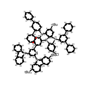 CC(C)(C)c1cc2c3c(c1)N(c1ccc(-c4ccccc4)cc1-c1ccccc1)c1ccc(-c4cc(-n5c6ccccc6c6ccccc65)cc(-n5c6cc(C(C)(C)C)ccc6c6ccc(C(C)(C)C)cc65)n4)cc1B3c1ccc(Cl)cc1N2c1cc(-c2ccccc2)cc(-c2ccccc2)c1